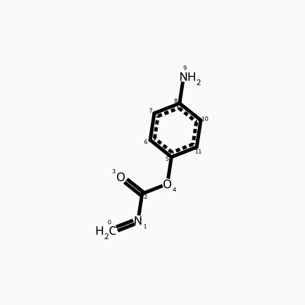 C=NC(=O)Oc1ccc(N)cc1